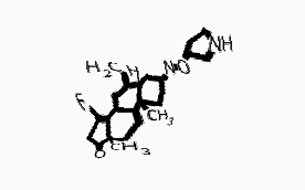 C=C1CC2C(CC[C@]3(C)C(=O)CC(F)C23)C2(C)CCC(=NOC3CCNC3)C[C@H]12